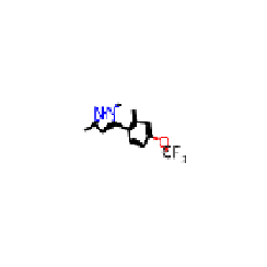 Cc1cc(-c2ccc(OC(F)(F)F)cc2C)n(C)n1